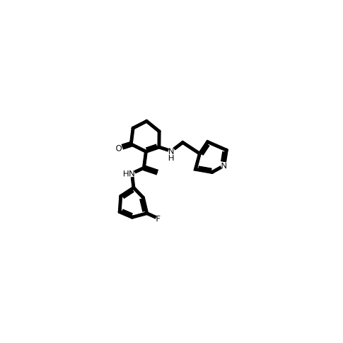 C=C(Nc1cccc(F)c1)C1=C(NCc2ccncc2)CCCC1=O